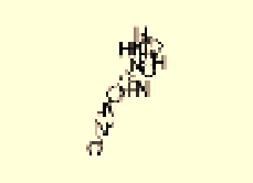 N#C[C@H](Cc1ccc(N2CCN(C3COC3)CC2)cc1F)NC(=O)[C@H]1N[C@@H]2CC[C@H]1C2